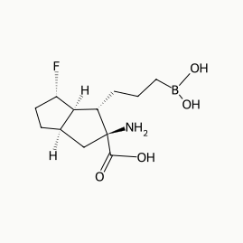 N[C@@]1(C(=O)O)C[C@H]2CC[C@H](F)[C@H]2[C@@H]1CCCB(O)O